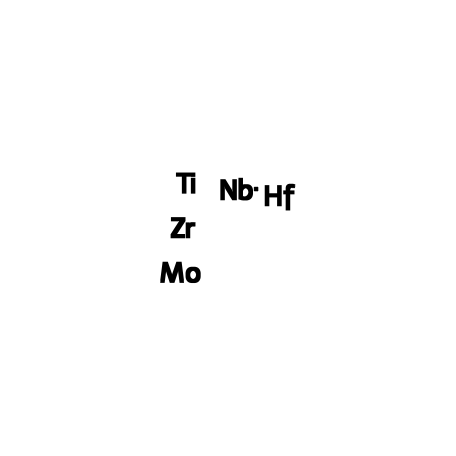 [Hf].[Mo].[Nb].[Ti].[Zr]